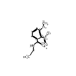 CCNC(=O)c1cccc(OC)c1[N+](=O)[O-]